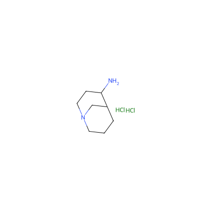 Cl.Cl.NC1CCN2CCCC1C2